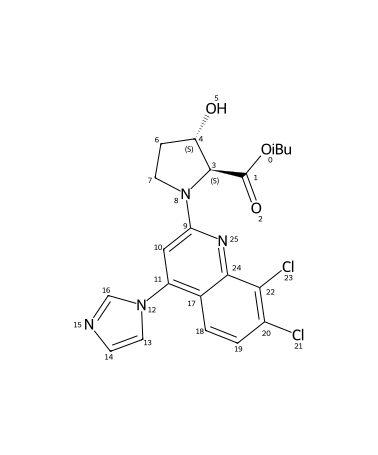 CC(C)COC(=O)[C@@H]1[C@@H](O)CCN1c1cc(-n2ccnc2)c2ccc(Cl)c(Cl)c2n1